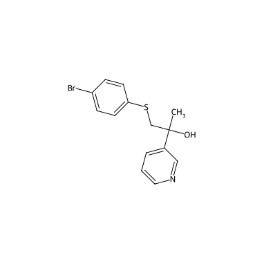 CC(O)(CSc1ccc(Br)cc1)c1cccnc1